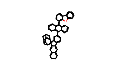 c1ccc2cc3c(cc2c1)-c1ccc(-c2c4ccccc4c(-c4cccc5c4oc4ccccc45)c4ccccc24)cc1C31C2CC3CC(C2)CC1C3